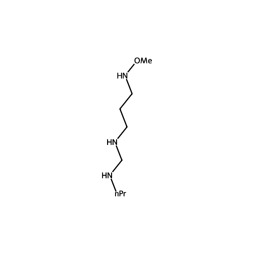 CCCNCNCCCNOC